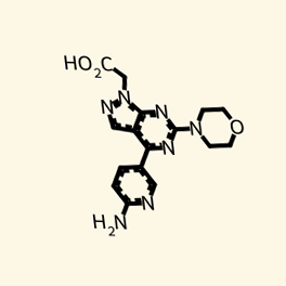 Nc1ccc(-c2nc(N3CCOCC3)nc3c2cnn3CC(=O)O)cn1